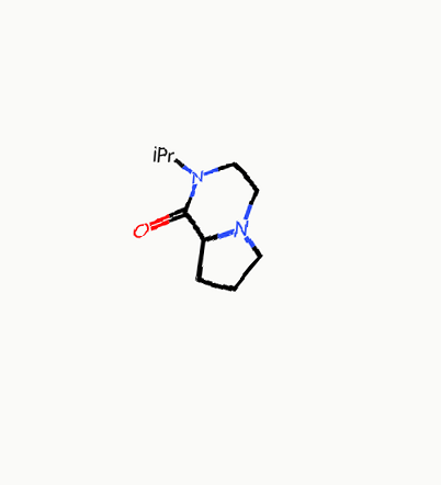 CC(C)N1CCN2CCCC2C1=O